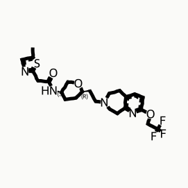 Cc1cnc(CC(=O)N[C@H]2CC[C@H](CCN3CCc4ccc(OCC(F)(F)F)nc4CC3)OC2)s1